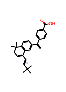 C=C(c1ccc(C(=O)O)cc1)c1ccc2c(c1)C(/C=C/C(C)(C)C)=CCC2(C)C